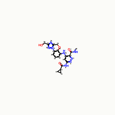 CNC(=O)c1nnc(NC(=O)C2CC2)cc1Nc1cccc2c1OCc1nc(CO)nn1-2